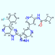 O=C(Nc1cncc(-c2cc3c(-c4nc5c(-c6ccccc6F)cncc5[nH]4)n[nH]c3cn2)c1)C1CCC1